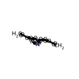 C=CC(=O)OCCCCCCOc1ccc(OC(=O)C2CCC(C(=O)OCCc3ccc(OC(=O)C4CCC(C(=O)Oc5ccc(OCCCCCCOC(=O)C=C)cc5)CC4)c4nc(/C=N\N=C\c5ccc(C#N)cc5)sc34)CC2)cc1